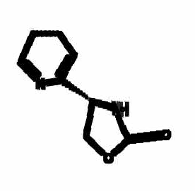 O=C1N[C@@H](C2=CCCC=N2)CO1